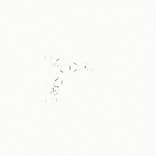 CC(=O)NC(Cc1ccc(OC(C)=O)cc1)C(=O)Oc1ccc2c(c1)[C@@]13CCCC[C@H]1[C@@H](C2)N(C)CC3